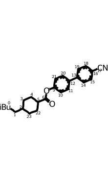 CCC(C)CC1CCC(C(=O)Oc2ccc(-c3ccc(C#N)cc3)cc2)CC1